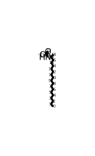 CCCCCCCCCCCCCCCCCC(C)NC([O])=O